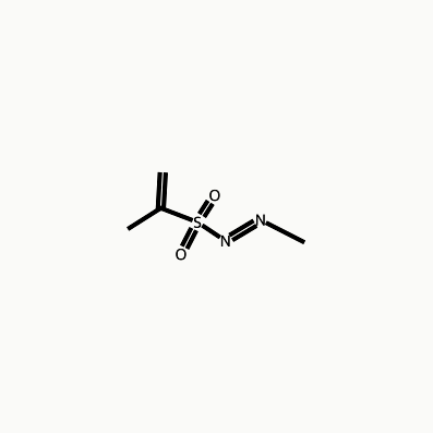 C=C(C)S(=O)(=O)N=NC